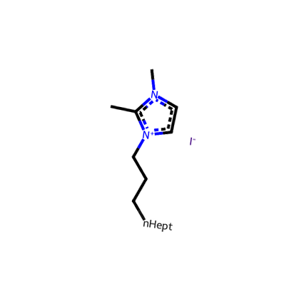 CCCCCCCCCC[n+]1ccn(C)c1C.[I-]